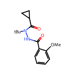 COc1ccccc1C(=O)NN(C(=O)C1CC1)C(C)(C)C